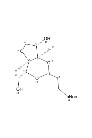 CCCCCCCCCCCC1O[C@H]2[C@H](OC[C@@H]2O)[C@@H](CO)O1